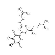 CC(C)=CCC/C(C)=C/CC(/C=C(\C)CCC=C(C)C)C1=CC(=O)C(C)=C(C)C1=O